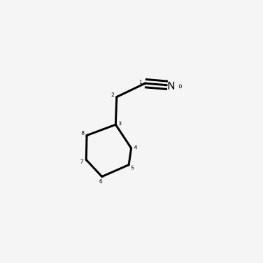 N#CCC1CCCCC1